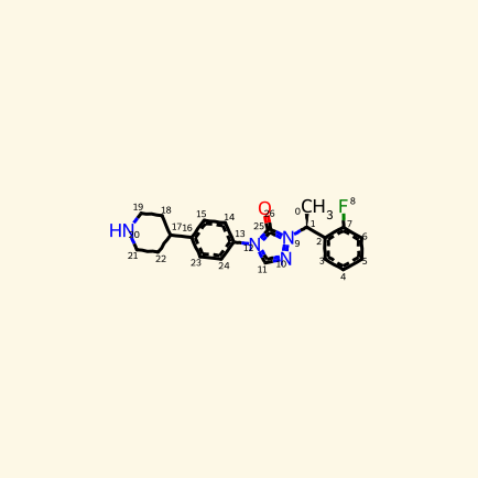 C[C@@H](c1ccccc1F)n1ncn(-c2ccc(C3CCNCC3)cc2)c1=O